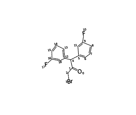 O=C(CBr)C(c1cccc(F)c1)c1cccc(F)c1